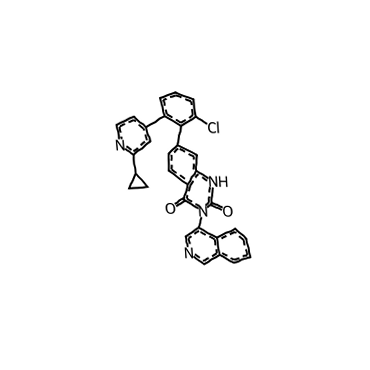 O=c1[nH]c2cc(-c3c(Cl)cccc3-c3ccnc(C4CC4)c3)ccc2c(=O)n1-c1cncc2ccccc12